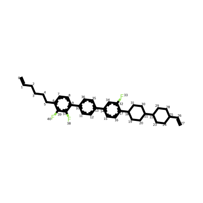 C=CCCCCc1ccc(-c2ccc(-c3ccc(C4CCC(C5CCC(C=C)CC5)CC4)c(F)c3)cc2)c(F)c1F